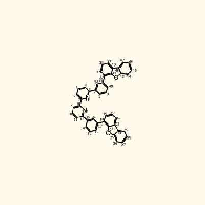 c1cc(-c2cccc(-c3cccc(-c4cccc(-c5cccc6c5oc5ccccc56)c4)n3)n2)cc(-c2cccc3c2oc2ccccc23)c1